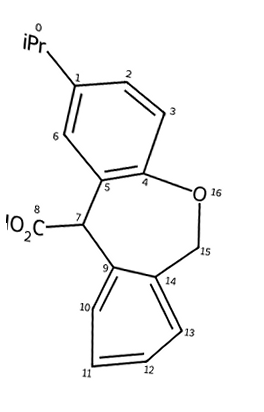 CC(C)c1ccc2c(c1)C(C(=O)O)c1ccccc1CO2